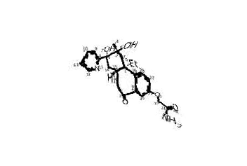 CC[C@@]12C[C@@](C)(O)[C@](O)(c3ccccn3)C[C@H]1CC(=O)c1cc(OCC(N)=O)ccc12